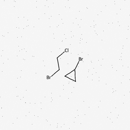 BrC1CC1.ClCCBr